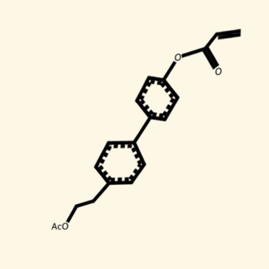 C=CC(=O)Oc1ccc(-c2ccc(CCOC(C)=O)cc2)cc1